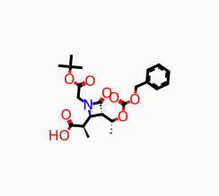 C[C@@H](OC(=O)OCc1ccccc1)[C@H]1C(=O)N(CC(=O)OC(C)(C)C)[C@@H]1[C@@H](C)C(=O)O